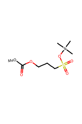 COC(=O)OCCCS(=O)(=O)O[Si](C)(C)C